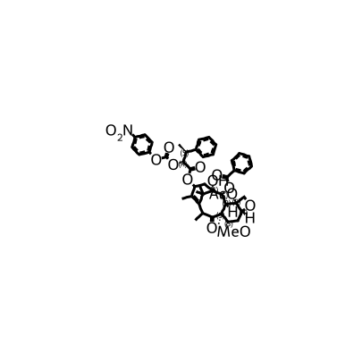 CO[C@H]1C[C@H]2OC[C@@]2(OC(C)=O)[C@H]2[C@H](OC(=O)c3ccccc3)[C@]3(O)CC(OC(=O)[C@H](OC(=O)Oc4ccc([N+](=O)[O-])cc4)[C@@H](C)c4ccccc4)C(C)=C(C(C)C(=O)[C@]12C)C3(C)C